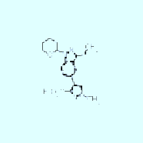 C=Cc1nn(C2CCCCO2)c2ccc(-c3cn(C)nc3C(=O)OCC)cc12